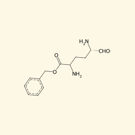 NC(CC[C@H](N)[C]=O)C(=O)OCc1ccccc1